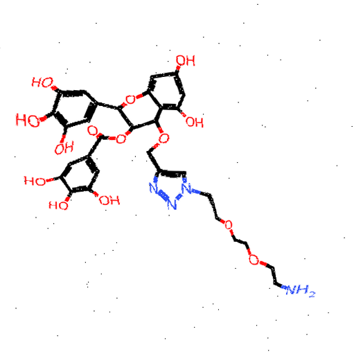 NCCOCCOCCn1cc(COC2c3c(O)cc(O)cc3OC(c3cc(O)c(O)c(O)c3)C2OC(=O)c2cc(O)c(O)c(O)c2)nn1